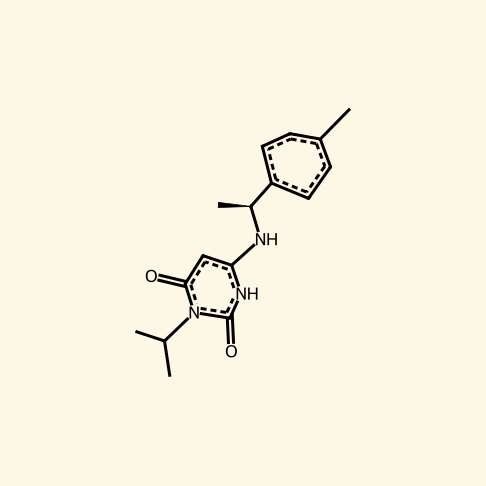 Cc1ccc([C@H](C)Nc2cc(=O)n(C(C)C)c(=O)[nH]2)cc1